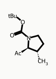 CC(=O)[C@@H]1[C@@H](C)CCN1C(=O)OC(C)(C)C